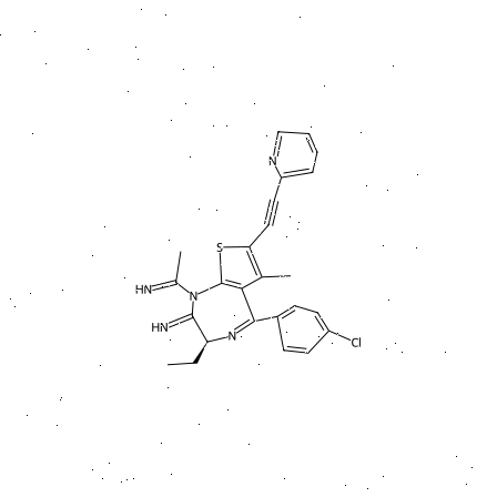 CC[C@@H]1N=C(c2ccc(Cl)cc2)c2c(sc(C#Cc3ccccn3)c2C)N(C(C)=N)C1=N